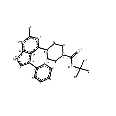 Cc1nc(N2CCN(C(=O)OC(C)(C)C)CC2)c2c(-c3ccccn3)c[nH]c2n1